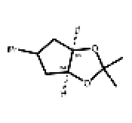 CC(C)C1C[C@@H]2OC(C)(C)O[C@@H]2C1